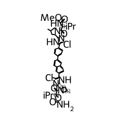 COC(=O)N[C@H](C(=O)N1CC(C)CC1c1nc(Cl)c(-c2ccc(-c3ccc4cc(-c5[nH]c([C@@H]6C[C@H](C)CN6C(=O)[C@@H](OC(N)=O)C(C)C)nc5Cl)ccc4c3)cc2)[nH]1)C(C)C